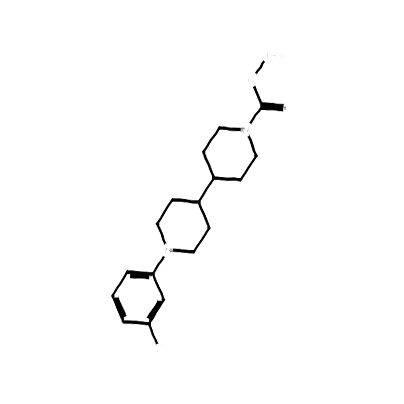 CC(C)(C)OC(=O)N1CCC(C2CCN(c3cccc(Cl)c3)CC2)CC1